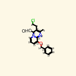 CC1=C(CCCl)C(C=O)N2C=CC=C(OCc3ccccc3)C2=N1